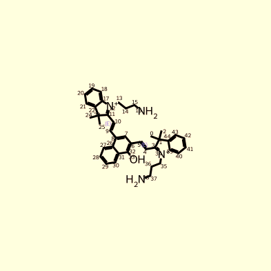 CC1(C)C(/C=C/c2cc(/C=C/C3=[N+](CCCN)c4ccccc4C3(C)C)c3ccccc3c2O)=[N+](CCCN)c2ccccc21